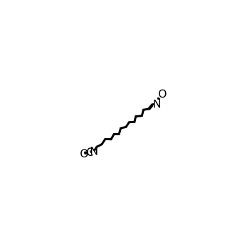 O=C=NC=CCCCCCCCCCCCCCN=C=O